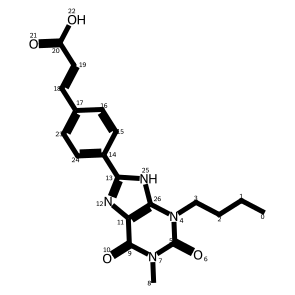 CCCCn1c(=O)n(C)c(=O)c2nc(-c3ccc(C=CC(=O)O)cc3)[nH]c21